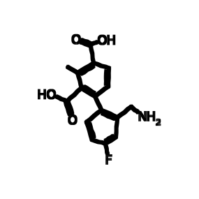 Cc1c(C(=O)O)ccc(-c2ccc(F)cc2CN)c1C(=O)O